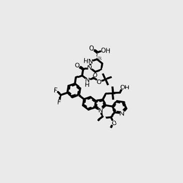 CCn1c(-c2cccnc2C(C)OC)c(CC(C)(C)CO)c2cc(-c3cc(CC(NC(=O)OC(C)(C)C)C(=O)N4CCC[C@@H](C(=O)O)N4)cc(C(F)F)c3)ccc21